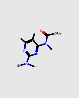 CCN(CC)c1nc(C)c(C)c(N(C)C(=O)OC)n1